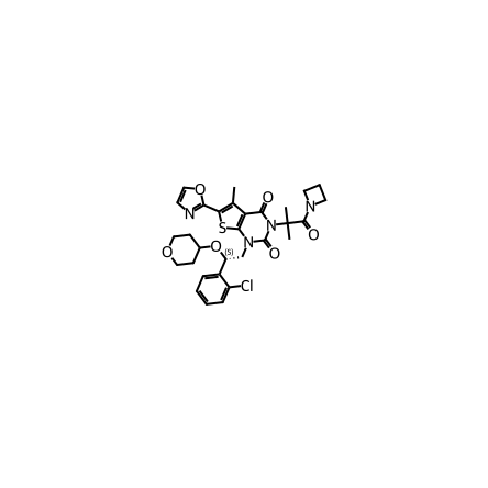 Cc1c(-c2ncco2)sc2c1c(=O)n(C(C)(C)C(=O)N1CCC1)c(=O)n2C[C@@H](OC1CCOCC1)c1ccccc1Cl